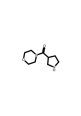 O=C(C1CCNC1)N1CCOCC1